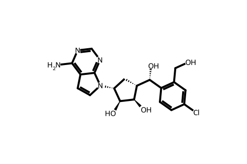 Nc1ncnc2c1ccn2[C@@H]1C[C@H]([C@H](O)c2ccc(Cl)cc2CO)[C@@H](O)[C@H]1O